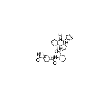 NC(=O)c1ccc(C(=O)N[C@@H]2CCCC[C@@H]2C(=O)N2CC[C@@H]3[C@H](c4ccsc4)Nc4ccccc4[C@@H]32)cc1